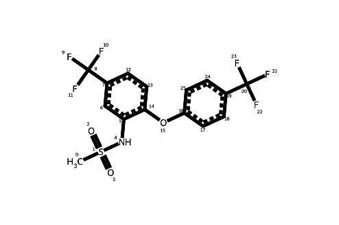 CS(=O)(=O)Nc1cc(C(F)(F)F)ccc1Oc1ccc(C(F)(F)F)cc1